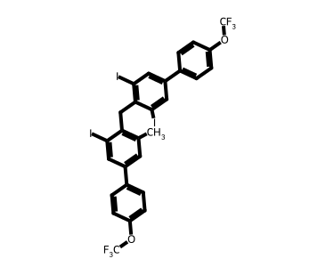 Cc1cc(-c2ccc(OC(F)(F)F)cc2)cc(I)c1Cc1c(I)cc(-c2ccc(OC(F)(F)F)cc2)cc1I